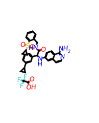 Nc1nccc2cc(NC(C(=O)NCc3ccccc3S(=O)(=O)C3CC3)c3cccc(C4CC4)c3)ccc12.O=C(O)C(F)(F)F